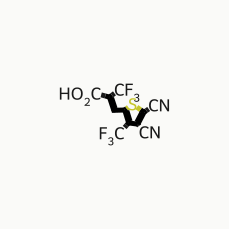 N#Cc1sc(/C=C(/C(=O)O)C(F)(F)F)c(C(F)(F)F)c1C#N